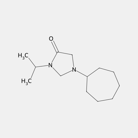 CC(C)N1CN(C2CCCCCC2)CC1=O